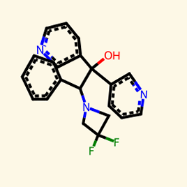 OC(c1cccnc1)(c1cccnc1)C(c1ccccc1)N1CC(F)(F)C1